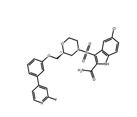 NC(=O)c1[nH]c2ccc(Cl)cc2c1S(=O)(=O)N1CCO[C@H](COc2cccc(-c3ccnc(F)c3)c2)C1